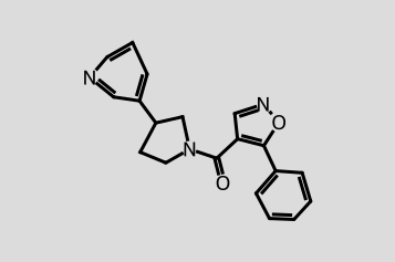 O=C(c1cnoc1-c1ccccc1)N1CCC(c2cccnc2)C1